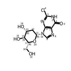 O=c1[nH]c(Cl)nc2c1ncn2[C@H]1C[C@@H](O)[C@H](O)[C@@H](CO)O1